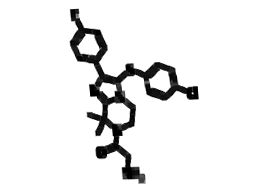 CC1(C)c2nc(-c3ccc(F)cc3)c(Sc3ccc(Cl)cc3)n2CCN1C(=O)CN